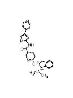 CN(C)[C@H]1c2ccccc2C[C@H]1Oc1ccc(C(=O)Nc2nnc(-c3ccncc3)s2)cn1